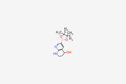 CC1(C)OB(c2cnc3c(c2)C(O)CCN3)OC1(C)C